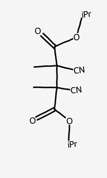 CC(C)OC(=O)C(C)(C#N)C(C)(C#N)C(=O)OC(C)C